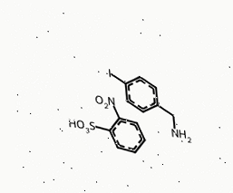 NCc1ccc(I)cc1.O=[N+]([O-])c1ccccc1S(=O)(=O)O